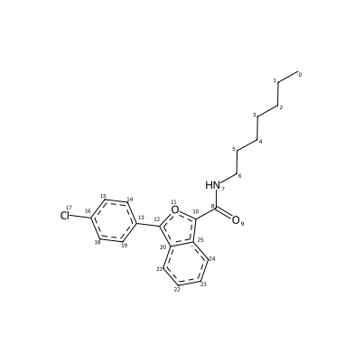 CCCCCCCNC(=O)c1oc(-c2ccc(Cl)cc2)c2ccccc12